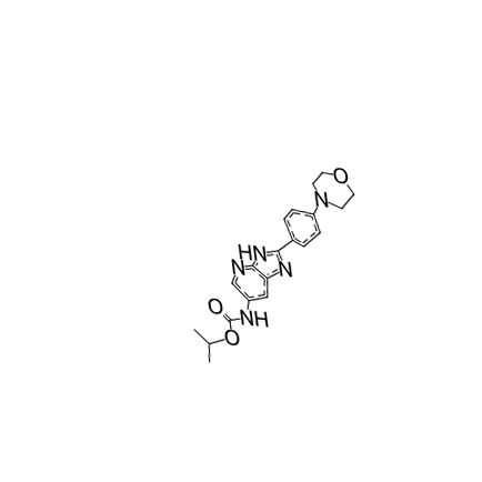 CC(C)OC(=O)Nc1cnc2[nH]c(-c3ccc(N4CCOCC4)cc3)nc2c1